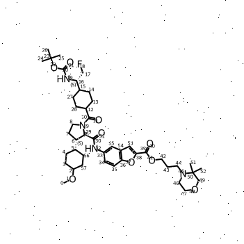 COC1CCC([C@@H]2CCN(C(=O)C3CCC([C@@H](CF)NC(=O)OC(C)(C)C)CC3)[C@H]2C(=O)Nc2ccc3oc(C(=O)OCCCN4CCOCC4(C)C)cc3c2)CC1